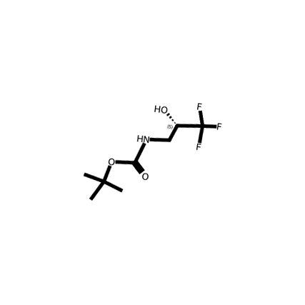 CC(C)(C)OC(=O)NC[C@H](O)C(F)(F)F